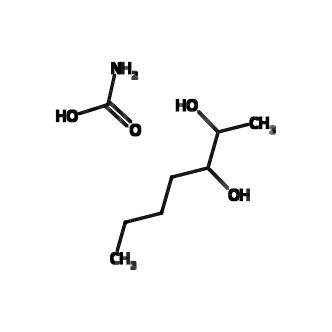 CCCCC(O)C(C)O.NC(=O)O